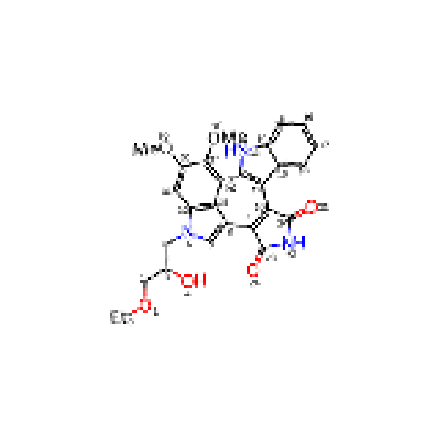 CCOCC(O)Cn1cc(C2=C(c3c[nH]c4ccccc34)C(=O)NC2=O)c2cc(OC)c(OC)cc21